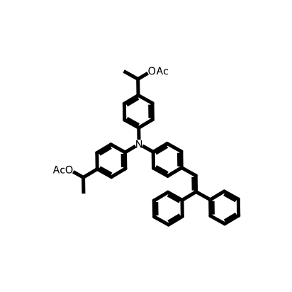 CC(=O)OC(C)c1ccc(N(c2ccc(C=C(c3ccccc3)c3ccccc3)cc2)c2ccc(C(C)OC(C)=O)cc2)cc1